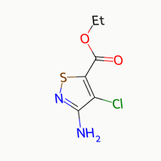 CCOC(=O)c1snc(N)c1Cl